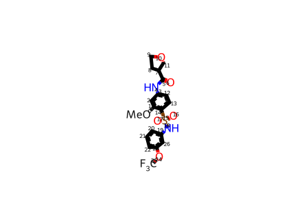 COc1cc(NC(=O)C2CCOC2)ccc1S(=O)(=O)Nc1cccc(OC(F)(F)F)c1